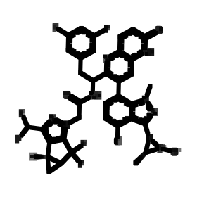 C[C@H]1N(c2nn(C)c3c(-c4cc5[nH]c(=O)ccc5nc4C(Cc4cc(F)cc(F)c4)NC(=O)Cn4nc(C(F)F)c5c4C(F)(F)C4C[C@H]54)ccc(Cl)c23)[S+]1[O-]